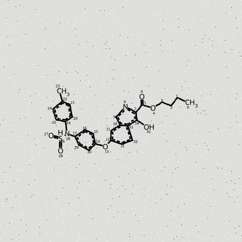 CCCCOC(=O)c1ncc2cc(Oc3ccc(N(c4ccc(C)cc4)[SH](=O)=O)cc3)ccc2c1O